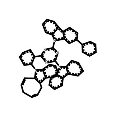 C1=C\Cc2c(n(-c3ccccc3-c3nc(-n4c5ccccc5c5ccccc54)nc(-n4c5ccccc5c5ccc(-c6ccccc6)cc54)n3)c3ccccc23)/C=C\C/1